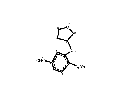 COc1ccc(C=O)cc1OC1CCOC1